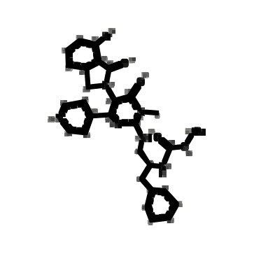 Cn1c(NC[C@H](Cc2ccccc2)NC(=O)OC(C)(C)C)nc(-c2ccncc2)c(N2Cc3cccc(Br)c3C2=O)c1=O